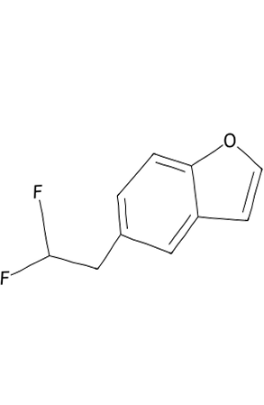 FC(F)Cc1ccc2occc2c1